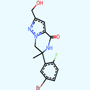 CC1(c2cc(Br)ccc2F)Cn2nc(CO)cc2C(=O)N1